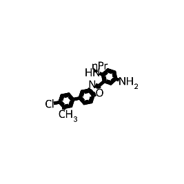 CCCNc1ccc(N)cc1-c1nc2cc(-c3ccc(Cl)c(C)c3)ccc2o1